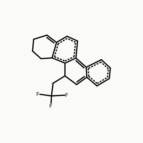 FC(F)(F)[CH]C1C=c2ccccc2=c2ccc3c(c21)CCCC=3